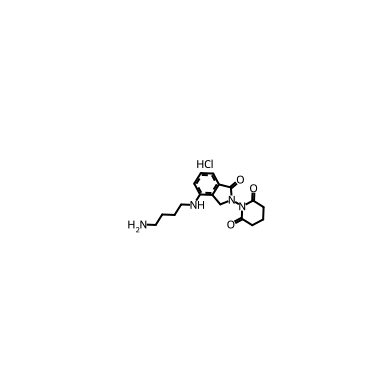 Cl.NCCCCNc1cccc2c1CN(N1C(=O)CCCC1=O)C2=O